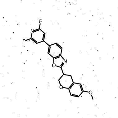 COc1ccc2c(c1)CC(c1nc3ccc(-c4cc(F)nc(F)c4)cc3o1)CO2